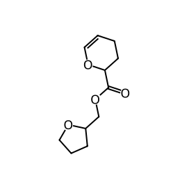 O=C(OCC1CCCO1)C1CCC=CO1